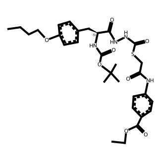 CCCCOc1ccc(C[C@H](NC(=O)OC(C)(C)C)C(=O)NNC(=O)SCC(=O)Nc2ccc(C(=O)OCC)cc2)cc1